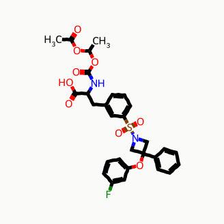 CC(=O)OC(C)OC(=O)NC(Cc1cccc(S(=O)(=O)N2CC(Oc3cccc(F)c3)(c3ccccc3)C2)c1)C(=O)O